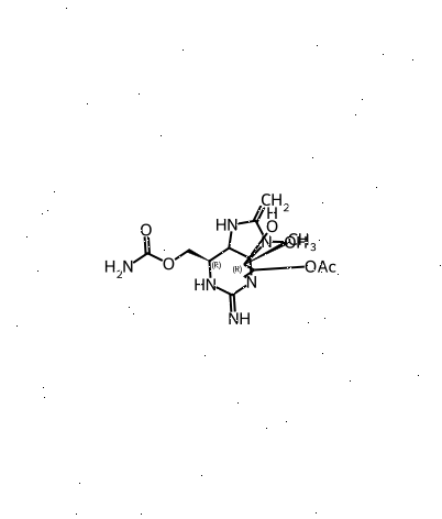 C=C1NC2[C@H](COC(N)=O)NC(=N)N3CC(OC(C)=O)[C@](C)(O)C23N1O